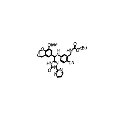 COc1cc(C(Nc2ccc(C#N)c(CNC(=O)OC(C)(C)C)c2)c2nn(-c3ncccn3)c(=O)[nH]2)cc2c1OCOC2